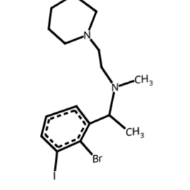 CC(c1cccc(I)c1Br)N(C)CCN1CCCCC1